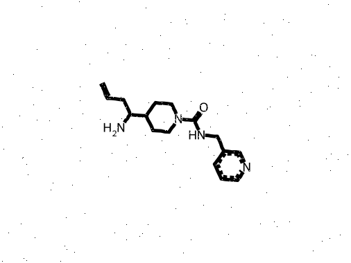 C=CCC(N)C1CCN(C(=O)NCc2cccnc2)CC1